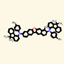 CC1=c2cc3oc4cc5cc(N(c6ccc(C(C)(C)C)cc6)c6cccc7c6C6C=CC=CC6C7(C)C)ccc5cc4c3cc2=CCC1N(c1ccc(C(C)(C)C)cc1)c1cccc2c1C1=C(C=CCC1)C2(C)C